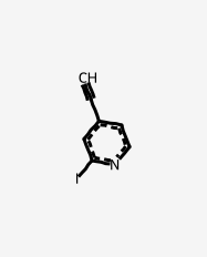 C#Cc1ccnc(I)c1